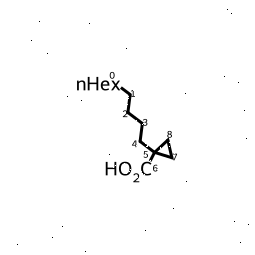 CCCCCCCCCCC1(C(=O)O)CC1